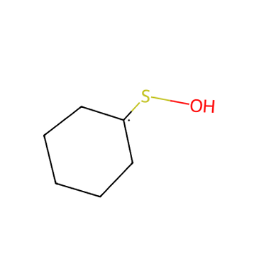 OS[C]1CCCCC1